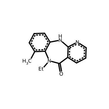 CCN1C(=O)c2cccnc2Nc2cccc(C)c21